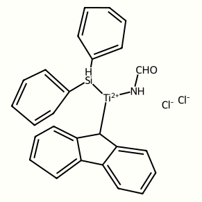 O=C[NH][Ti+2]([CH]1c2ccccc2-c2ccccc21)[SiH](c1ccccc1)c1ccccc1.[Cl-].[Cl-]